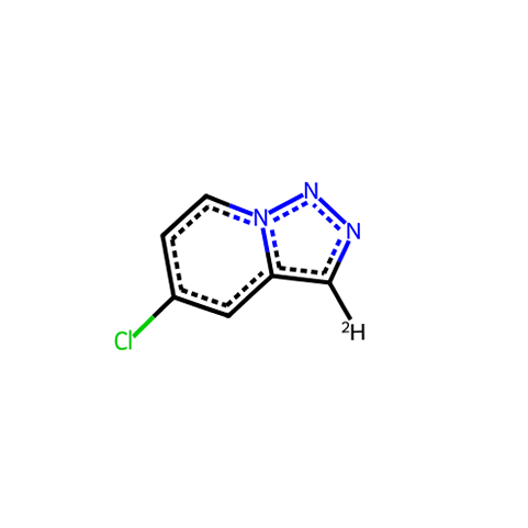 [2H]c1nnn2ccc(Cl)cc12